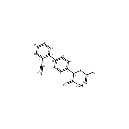 CC(=O)SC(C(=O)O)c1ccc(-c2ccccc2C#N)cc1